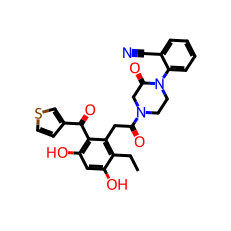 CCc1c(O)cc(O)c(C(=O)c2ccsc2)c1CC(=O)N1CCN(c2ccccc2C#N)C(=O)C1